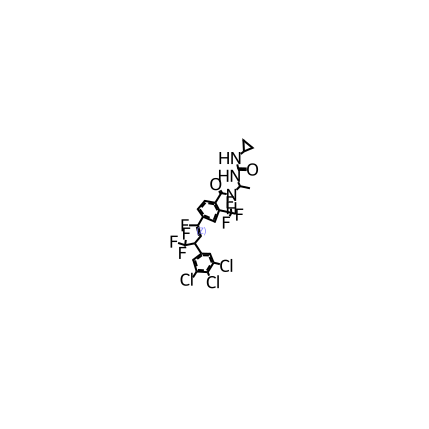 CC(NC(=O)NC1CC1)NC(=O)c1ccc(/C(F)=C/C(c2cc(Cl)c(Cl)c(Cl)c2)C(F)(F)F)cc1C(F)(F)F